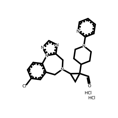 Cl.Cl.O=CC1(C2CCN(c3ccccn3)CC2)CC1N1Cc2cc(Cl)ccc2-n2ncnc2C1